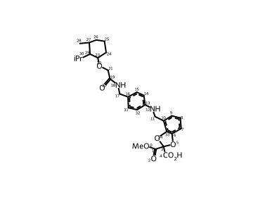 COC(=O)C1(C(=O)O)Oc2cccc(CNc3ccc(CNC(=O)COC4CCCC(C)C4C(C)C)cc3)c2O1